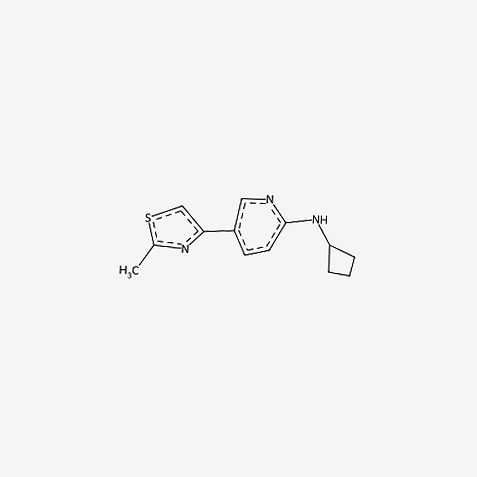 Cc1nc(-c2ccc(NC3CCC3)nc2)cs1